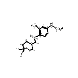 Nc1cc(NC(=O)O)ccc1NCC1CCC(F)(F)CC1